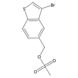 CS(=O)(=O)OCc1ccc2scc(Br)c2c1